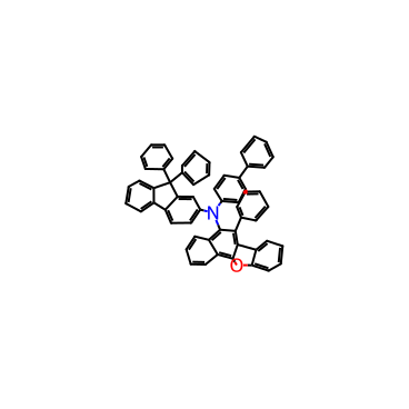 c1ccc(-c2ccc(N(c3ccc4c(c3)C(c3ccccc3)(c3ccccc3)c3ccccc3-4)c3c(-c4ccccc4)c4c5ccccc5oc4c4ccccc34)cc2)cc1